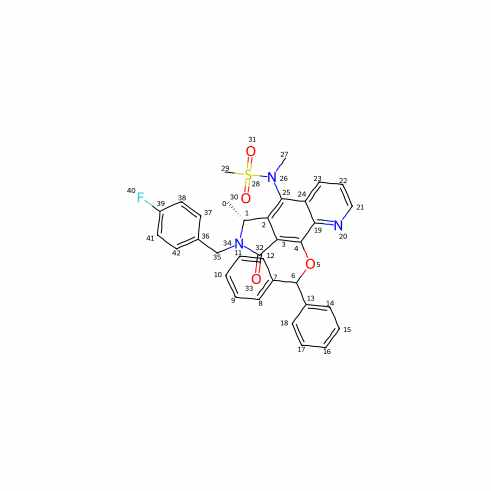 C[C@@H]1c2c(c(OC(c3ccccc3)c3ccccc3)c3ncccc3c2N(C)S(C)(=O)=O)C(=O)N1Cc1ccc(F)cc1